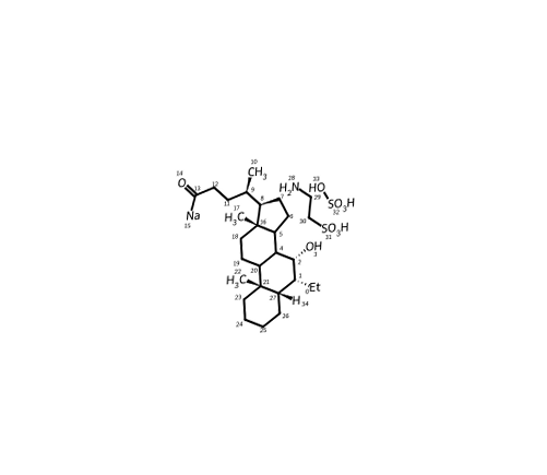 CC[C@H]1[C@@H](O)C2C3CC[C@H]([C@H](C)CC[C](=O)[Na])[C@@]3(C)CCC2[C@@]2(C)CCCC[C@@H]12.NCCS(=O)(=O)O.O=S(=O)(O)O